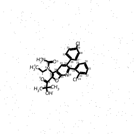 CCN(C(N)=O)c1c(C(=O)C(C)(C)O)oc2nc(-c3ccccc3Cl)c(-c3ccc(Cl)cc3)cc12